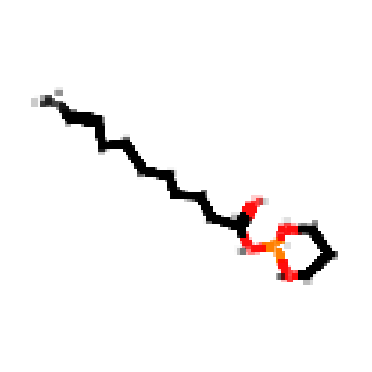 CCCCCCCCC=CCCCCCCCC(=O)OP1OCCCO1